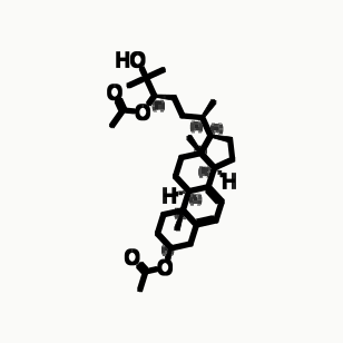 CC(=O)O[C@H]1CC[C@@]2(C)C(=CC=C3[C@@H]4CC[C@H]([C@H](C)CC[C@@H](OC(C)=O)C(C)(C)O)[C@@]4(C)CC[C@@H]32)C1